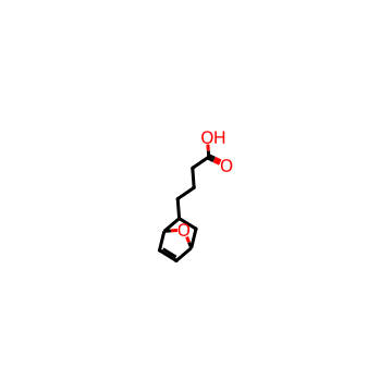 O=C(O)CCCC1CC2C=CC1O2